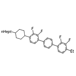 CCCCCCCC1CCC(c2ccc(-c3ccc(-c4ccc(CC)c(F)c4F)cc3)c(F)c2F)CC1